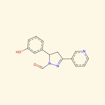 O=CN1N=C(c2cccnc2)CC1c1cccc(O)c1